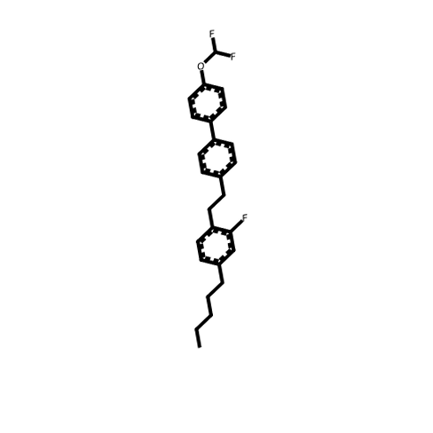 CCCCCc1ccc(CCc2ccc(-c3ccc(OC(F)F)cc3)cc2)c(F)c1